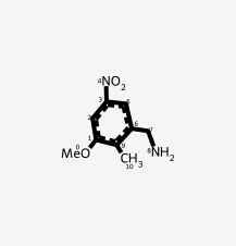 COc1cc([N+](=O)[O-])cc(CN)c1C